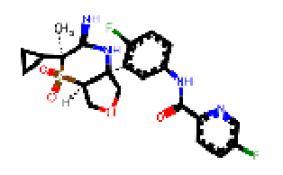 C[C@]1(C2CC2)C(=N)N[C@@]2(c3cc(NC(=O)c4ccc(F)cn4)ccc3F)COC[C@H]2S1(=O)=O